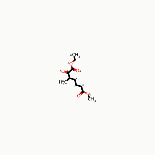 CCOC(=O)C(=O)C(C)CCCC(=O)OC